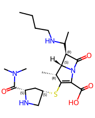 CCCCNC(C)[C@H]1C(=O)N2C(C(=O)O)=C(S[C@@H]3CN[C@H](C(=O)N(C)C)C3)[C@H](C)[C@H]12